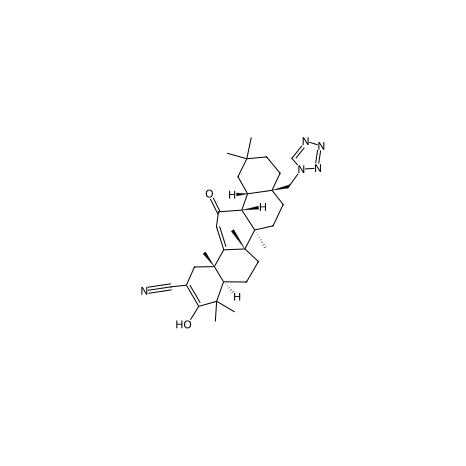 CC1(C)CC[C@]2(Cn3cnnn3)CC[C@]3(C)[C@H](C(=O)C=C4[C@@]5(C)CC(C#N)=C(O)C(C)(C)[C@@H]5CC[C@]43C)[C@@H]2C1